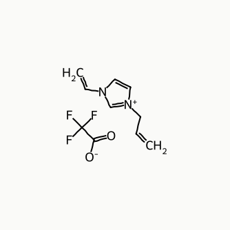 C=CC[n+]1ccn(C=C)c1.O=C([O-])C(F)(F)F